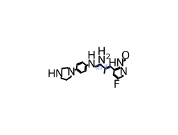 CC(=C\c1cc(F)cnc1NC=O)/C(N)=C/Nc1ccc(N2CCCNCC2)cc1